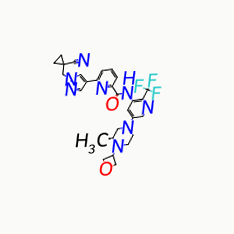 C[C@H]1CN(c2cnc(C(F)(F)F)c(NC(=O)c3cccc(-c4cnn(CC5(C#N)CC5)c4)n3)c2)CCN1C1COC1